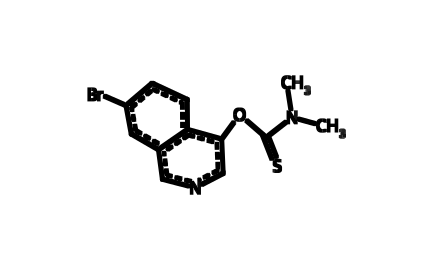 CN(C)C(=S)Oc1cncc2cc(Br)ccc12